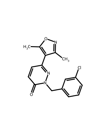 Cc1noc(C)c1-c1ccc(=O)n(Cc2cccc(Cl)c2)n1